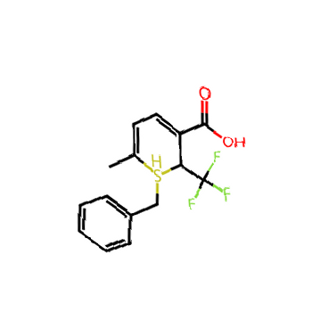 CC1=CC=C(C(=O)O)C(C(F)(F)F)[SH]1Cc1ccccc1